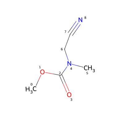 COC(=O)N(C)CC#N